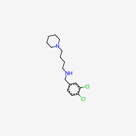 Clc1ccc(CNCCCCN2CC[CH]CC2)cc1Cl